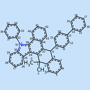 CC1(C)c2ccccc2C(c2ccc(-c3ccccc3)cc2)c2c1c1c3ccccc3n(-c3ccccc3)c1c1ccccc21